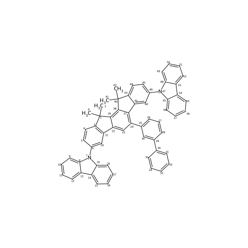 CC1(C)c2ccc(-n3c4ccccc4c4ccccc43)cc2-c2cc(-c3cccc(-c4ccccc4)c3)c3c(c21)C(C)(C)c1ccc(-n2c4ccccc4c4ccccc42)cc1-3